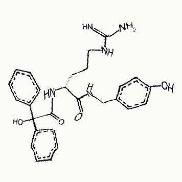 N=C(N)NCCC[C@@H](NC(=O)C(O)(c1ccccc1)c1ccccc1)C(=O)NCc1ccc(O)cc1